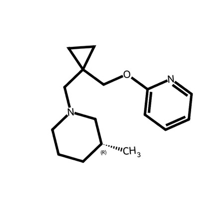 C[C@@H]1CCCN(CC2(COc3ccccn3)CC2)C1